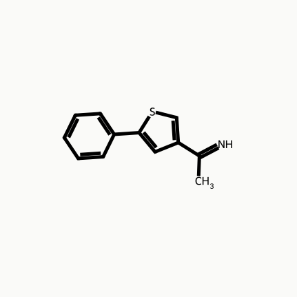 CC(=N)c1csc(-c2ccccc2)c1